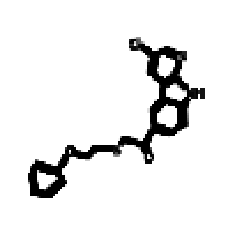 O=C(CSCCOc1ccccc1)c1ccc2[nH]c3ncc(Cl)cc3c2c1